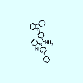 Nc1ccccc1[C@@H](c1ccc(-c2ccccc2)cc1)C(N)c1ccc(-n2c3c(c4ccccc42)C=CCC3)cc1